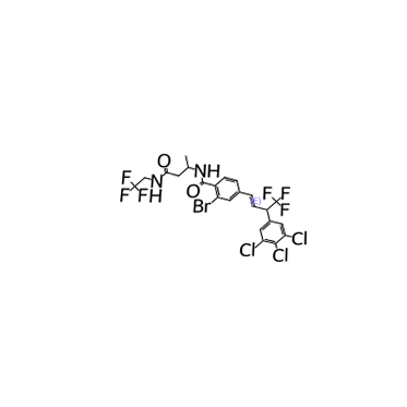 CC(CC(=O)NCC(F)(F)F)NC(=O)c1ccc(/C=C/C(c2cc(Cl)c(Cl)c(Cl)c2)C(F)(F)F)cc1Br